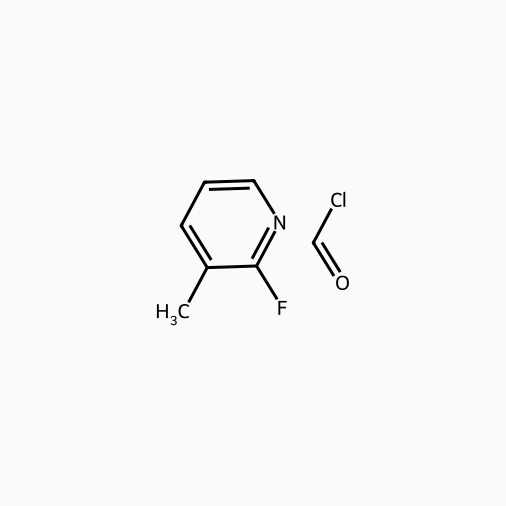 Cc1cccnc1F.O=CCl